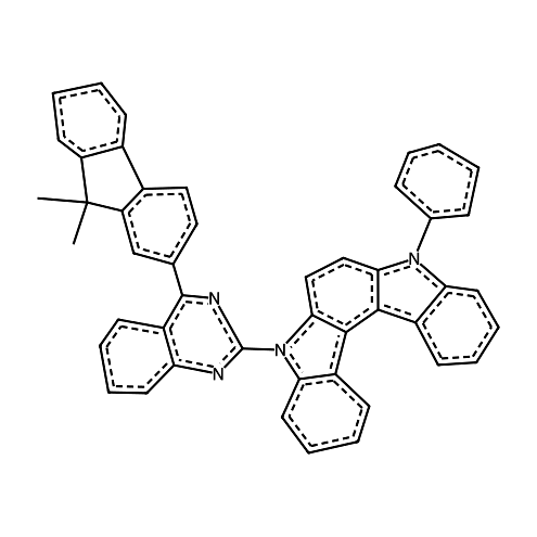 CC1(C)c2ccccc2-c2ccc(-c3nc(-n4c5ccccc5c5c6c7ccccc7n(-c7ccccc7)c6ccc54)nc4ccccc34)cc21